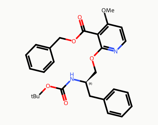 COc1ccnc(OC[C@@H](Cc2ccccc2)NC(=O)OC(C)(C)C)c1C(=O)OCc1ccccc1